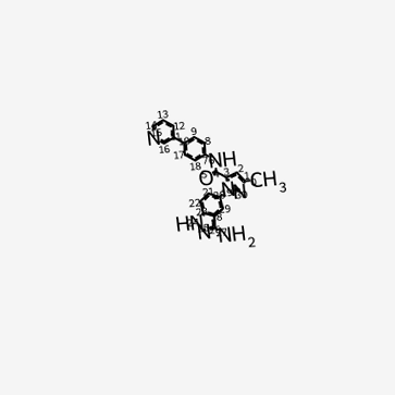 Cc1cc(C(=O)Nc2ccc(-c3cccnc3)cc2)n(-c2ccc3[nH]nc(N)c3c2)n1